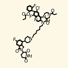 CCC(=O)Oc1cccc(F)c1-c1c(Cl)cc2c3c(cnc2c1F)N(CCCCCCCN1CCC(c2cc(F)cc4c2CN(C2CCC(=O)NC2=O)C4=O)CC1)C(=O)[C@H]1CN(C(=O)CC)CCN31